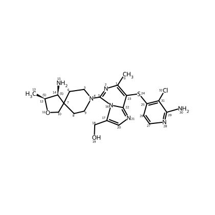 Cc1nc(N2CCC3(CC2)CO[C@@H](C)[C@H]3N)n2c(CO)cnc2c1Sc1ccnc(N)c1Cl